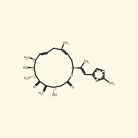 C=C1C(=O)[C@H](C)[C@@H](O)[C@@H](C)/C=C/C/C(C)=C\C[C@@H](/C(C)=C/c2csc(C)n2)OC(=O)C[C@@H]1O